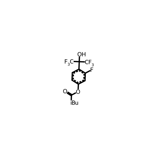 CCC(C)C(=O)Oc1ccc(C(O)(C(F)(F)F)C(F)(F)F)c(F)c1